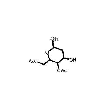 CC(=O)OCC1OC(O)CC(O)C1OC(C)=O